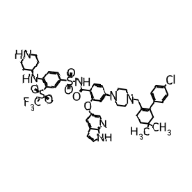 CC1(C)CCC(CN2CCN(c3ccc(C(=O)NS(=O)(=O)c4ccc(NC5CCNCC5)c(S(=O)(=O)C(F)(F)F)c4)c(Oc4cnc5[nH]ccc5c4)c3)CC2)=C(c2ccc(Cl)cc2)C1